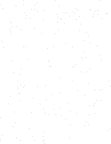 COCCOc1ccc(CC2CNCCO2)cc1Cl